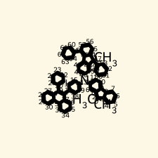 CC1(C)c2ccccc2-c2ccc(N(c3ccc(-c4c(-c5ccccc5)c5ccccc5c5ccccc45)cc3)c3ccc4c(c3)C(C)(c3ccccc3)c3cccc(-c5ccccc5)c3-4)cc21